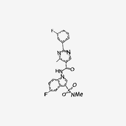 CNS(=O)(=O)c1cn(NC(=O)c2cnc(-c3cccc(F)c3)nc2C)c2ccc(F)cc12